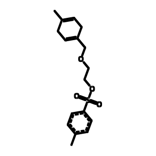 CC1=CCC(COCCOS(=O)(=O)c2ccc(C)cc2)=CC1